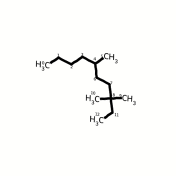 CCCCC(C)CCC(C)(C)CC